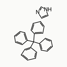 c1c[nH]cn1.c1ccc(C(c2ccccc2)(c2ccccc2)c2ccccc2)cc1